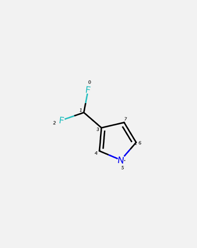 FC(F)C1=C[N][C]=C1